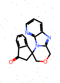 O=C1CC2(COCc3nc4cccnc4n32)c2ccccc21